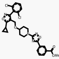 COC(=O)c1cccc(-c2nc(N3CCC(OCc4c(-c5c(Cl)cccc5Cl)noc4C4CC4)CC3)no2)c1